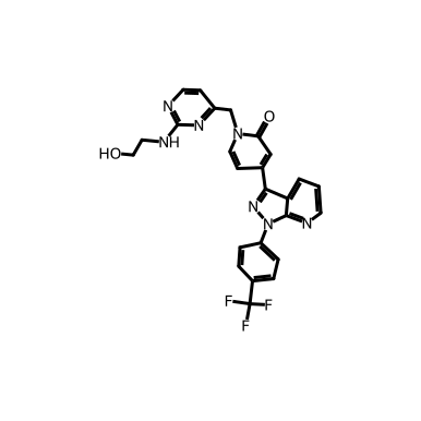 O=c1cc(-c2nn(-c3ccc(C(F)(F)F)cc3)c3ncccc23)ccn1Cc1ccnc(NCCO)n1